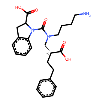 NCCCCN(C[C@@H](CCc1ccccc1)C(=O)O)C(=O)N1c2ccccc2CC1C(=O)O